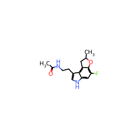 CC(=O)NCCc1c[nH]c2cc(F)c3c(c12)CC(C)O3